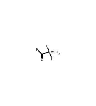 C[N+](F)(F)C(=O)F